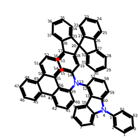 c1ccc(-n2c3ccccc3c3c(N(c4ccc5c(c4)C4(c6ccccc6-c6ccccc64)c4ccccc4-5)c4cccc5c6ccccc6c6ccccc6c45)cccc32)cc1